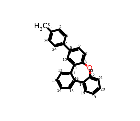 Cc1ccc(-c2ccc3c(c2)-c2ccccc2-c2ccccc2O3)cc1